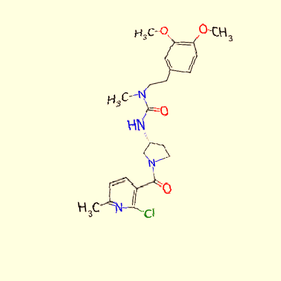 COc1ccc(CCN(C)C(=O)N[C@@H]2CCN(C(=O)c3ccc(C)nc3Cl)C2)cc1OC